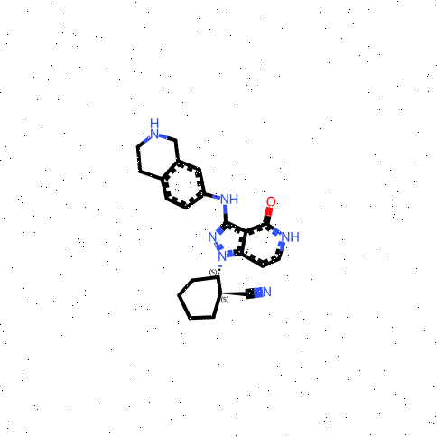 N#C[C@H]1CCCC[C@@H]1n1nc(Nc2ccc3c(c2)CNCC3)c2c(=O)[nH]ccc21